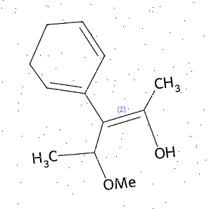 COC(C)/C(C1=CCCC=C1)=C(/C)O